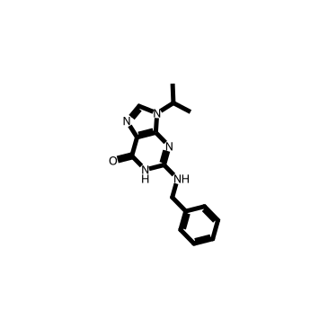 CC(C)n1cnc2c(=O)[nH]c(NCc3ccccc3)nc21